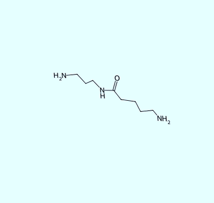 NCCCCC(=O)NCCCN